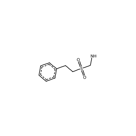 [NH]CS(=O)(=O)CCc1ccccc1